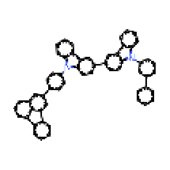 c1ccc(-c2cccc(-n3c4ccccc4c4cc(-c5ccc6c(c5)c5ccccc5n6-c5ccc(-c6cc7c8c(cccc8c6)-c6ccccc6-7)cc5)ccc43)c2)cc1